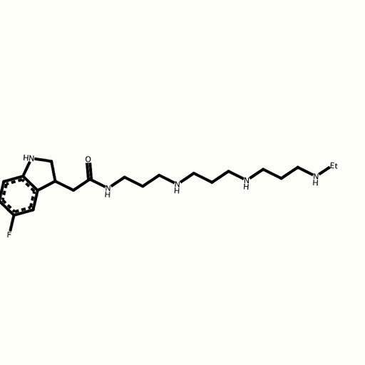 CCNCCCNCCCNCCCNC(=O)CC1CNc2ccc(F)cc21